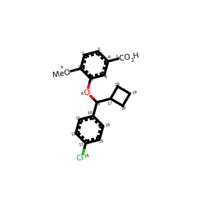 COc1ccc(C(=O)O)cc1OC(c1ccc(Cl)cc1)C1CCC1